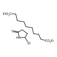 CCC1CCC(=O)N1.CCOC(=O)CCCCCCCCC(=O)OCC